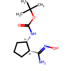 CC(C)(C)OC(=O)N[C@H]1CCC[C@H]1/C(N)=N/O